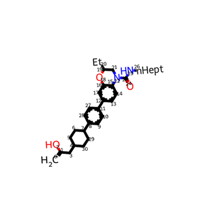 C=C(O)CC1CCC(c2ccc(-c3ccc4c(c3)OC(CC)CN4C(=O)NCCCCCCC)cc2)CC1